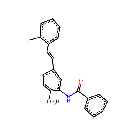 Cc1ccccc1C=Cc1ccc(C(=O)O)c(NC(=O)c2ccccc2)c1